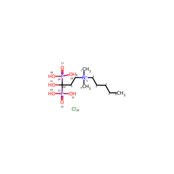 CCCCC[N+](C)(C)CCC(O)(P(=O)(O)O)P(=O)(O)O.[Cl-]